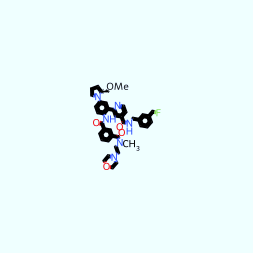 COC[C@@H]1CCCN1c1ccc(NC(=O)c2cccc(C(=O)N(C)CCN3CCOCC3)c2)c(-c2cc(C(=O)NCc3cccc(CF)c3)ccn2)c1